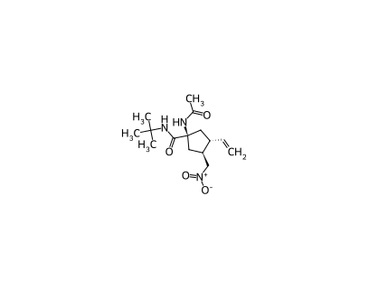 C=C[C@H]1C[C@@](NC(C)=O)(C(=O)NC(C)(C)C)C[C@@H]1C[N+](=O)[O-]